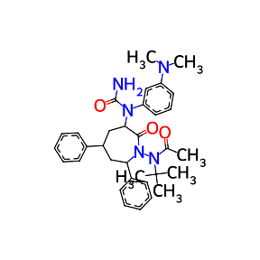 CC(=O)N(N1C(=O)C(N(C(N)=O)c2cccc(N(C)C)c2)CC(c2ccccc2)CC1c1ccccc1)C(C)(C)C